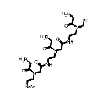 BCC(=O)N(CCNC(=O)CN(CCNC(=O)CN(CCNC)C(=O)CB)C(=O)CB)CC(C)=O